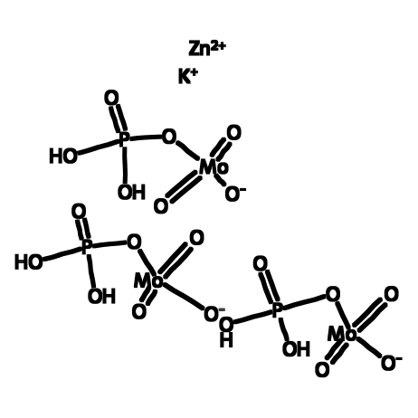 O=P(O)(O)[O][Mo](=[O])(=[O])[O-].O=P(O)(O)[O][Mo](=[O])(=[O])[O-].O=P(O)(O)[O][Mo](=[O])(=[O])[O-].[K+].[Zn+2]